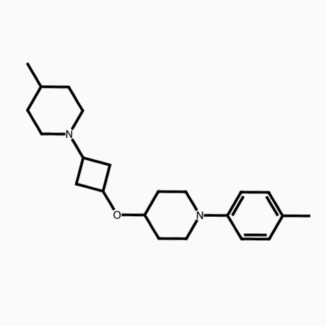 Cc1ccc(N2CCC(OC3CC(N4CCC(C)CC4)C3)CC2)cc1